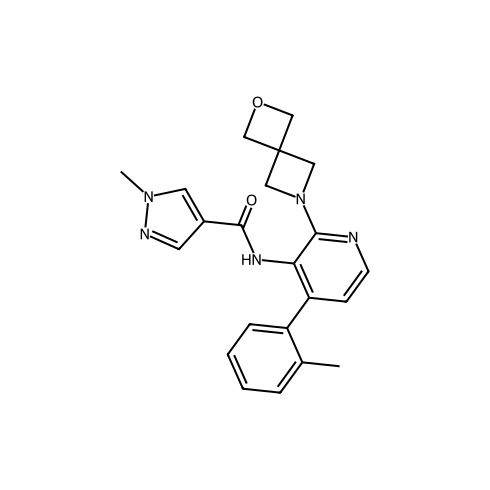 Cc1ccccc1-c1ccnc(N2CC3(COC3)C2)c1NC(=O)c1cnn(C)c1